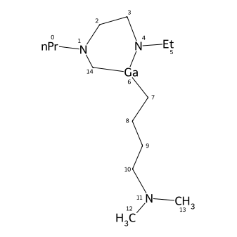 CCCN1CC[N](CC)[Ga]([CH2]CCCN(C)C)[CH2]1